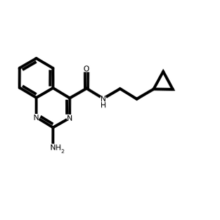 Nc1nc(C(=O)NCCC2CC2)c2ccccc2n1